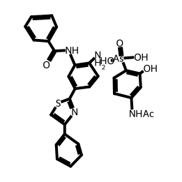 CC(=O)Nc1ccc([As](=O)(O)O)c(O)c1.Nc1ccc(-c2nc(-c3ccccc3)cs2)cc1NC(=O)c1ccccc1